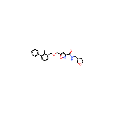 Cc1c(COCc2cc(C(=O)NCC3CCOC3)no2)cccc1-c1ccccc1